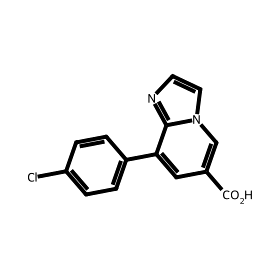 O=C(O)c1cc(-c2ccc(Cl)cc2)c2nccn2c1